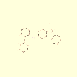 CC(C)(C)c1ccc(Nc2ccc3c(c2)-c2ccccc2C3(C)C)c(-c2ccccc2)c1